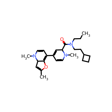 CCCN(CCC1CCC1)C(=O)C1C=C(C2=C3OC(C)=CC3N(C)C=C2)C=CN1C